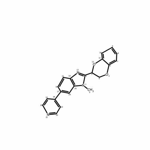 Cn1c(C2COc3ccccc3O2)nc2ccc(-c3ccncc3)cc21